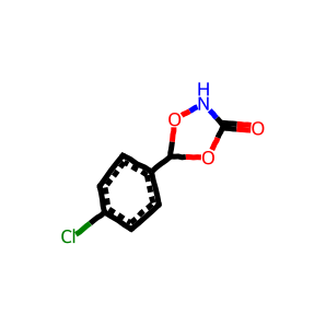 O=C1NOC(c2ccc(Cl)cc2)O1